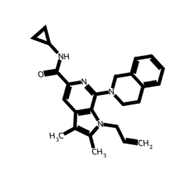 C=CCn1c(C)c(C)c2cc(C(=O)NC3CC3)nc(N3CCc4ccccc4C3)c21